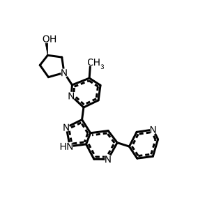 Cc1ccc(-c2n[nH]c3cnc(-c4cccnc4)cc23)nc1N1CC[C@@H](O)C1